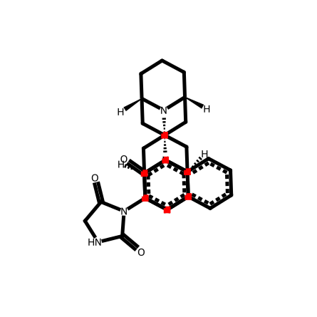 O=C1CNC(=O)N1c1nc2ccccc2n([C@H]2C[C@H]3CCC[C@@H](C2)N3[C@H]2C[C@@H]3CCC[C@@H](C3)C2)c1=O